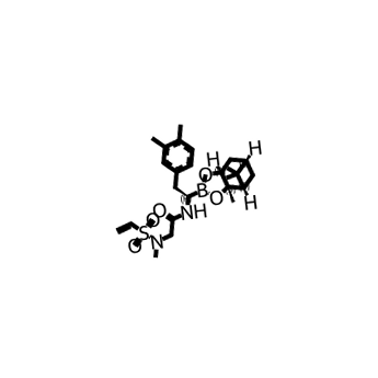 C=CS(=O)(=O)N(C)CC(=O)N[C@@H](Cc1ccc(C)c(C)c1)B1O[C@@H]2C[C@@H]3C[C@@H](C3(C)C)[C@]2(C)O1